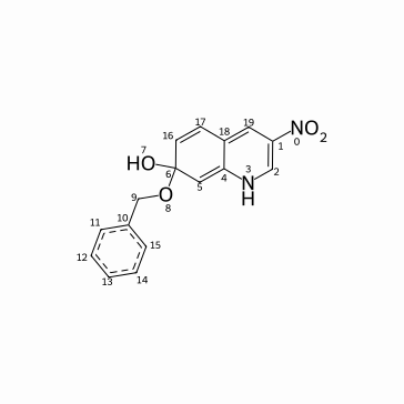 O=[N+]([O-])C1=CNC2=CC(O)(OCc3ccccc3)C=CC2=C1